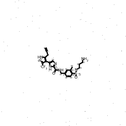 C#CCc1[nH]nc(C(F)(F)F)c1-c1cnc(C(=O)NCc2ccc([S@](C)(=O)=NCCCN)c(C)c2)[nH]1